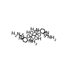 Nc1nc2c(s1)[C@H](OC(=O)C(O)C(O)C(=O)O[C@H]1c3sc(N)nc3CC[C@H]1N)[C@H](N)CC2